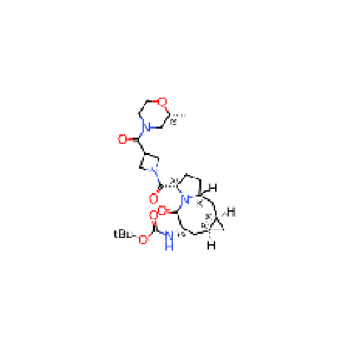 C[C@@H]1CN(C(=O)C2CN(C(=O)[C@@H]3CC[C@@H]4C[C@H]5C[C@H]5C[C@H](NC(=O)OC(C)(C)C)C(=O)N43)C2)CCO1